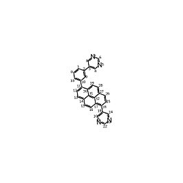 c1cc(-c2cncnc2)cc(-c2ccc3ccc4c(-c5cncnc5)ccc5ccc2c3c54)c1